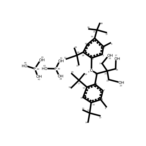 Cc1cc(OC(c2cc(C)c(C(C)(C)C)cc2C(C)(C)C)C(CO)(CO)CO)c(C(C)(C)C)cc1C(C)(C)C.OP(O)O.OP(O)O